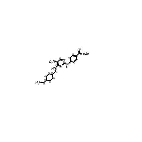 COC(=O)c1ccc(Nc2ncc([N+](=O)[O-])c(NCC3CCC(CN)CC3)n2)cc1